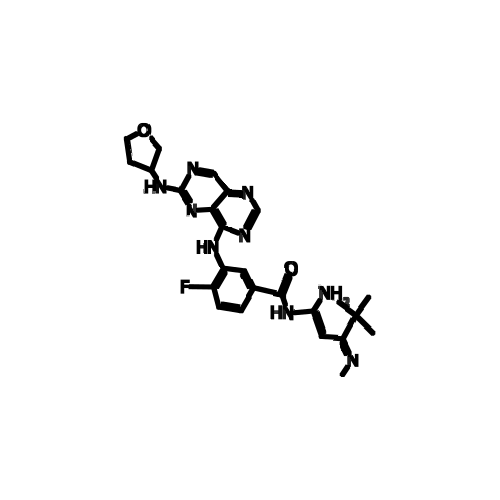 C/N=C(\C=C(/N)NC(=O)c1ccc(F)c(Nc2ncnc3cnc(NC4CCOC4)nc23)c1)C(C)(C)C